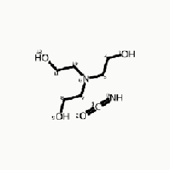 N=C=O.OCCN(CCO)CCO